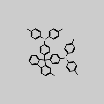 Cc1ccc(N(c2ccc(C)cc2)c2ccc(C3(c4ccc(N(c5ccc(C)cc5)c5ccc(C)cc5)cc4)c4ccccc4-c4ccc(C)cc43)cc2)cc1